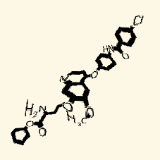 COc1cc2c(Oc3ccc(NC(=O)c4ccc(Cl)cc4)cc3)ccnc2cc1OCCC(N)C(=O)OC1CCCC1